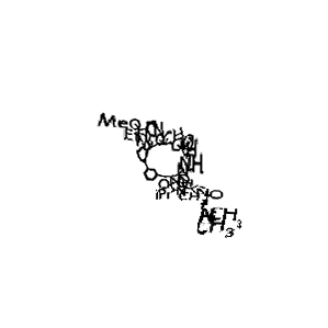 CCn1c(-c2cnccc2COC)c2c3cc(ccc31)-c1cccc(c1)C[C@H](NC(=O)[C@H](C(C)C)N(C)C(=O)[C@H]1CCN(C(=O)C#CCN(C)C)C1)C(=O)N1CCC[C@H](N1)C(=O)OCC(C)(C)C2